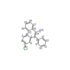 Clc1ccc2c(c1)c(-c1ccccc1)c(I)c1ccccc12